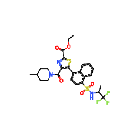 CCOC(=O)c1nc(C(=O)N2CCC(C)CC2)c(-c2ccc(S(=O)(=O)NC(C)C(F)(F)F)c3ccccc23)s1